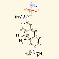 CC(C)/C=C(/CS(N)(=O)=O)C1=CC2=Cc3ccc(N(C)C)cc3C(C)(C)C2=CC1